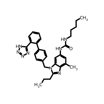 CCCCCNC(=O)Nc1cc(C)c2nc(CCC)n(Cc3ccc(-c4ccccc4-c4nnn[nH]4)cc3)c2c1